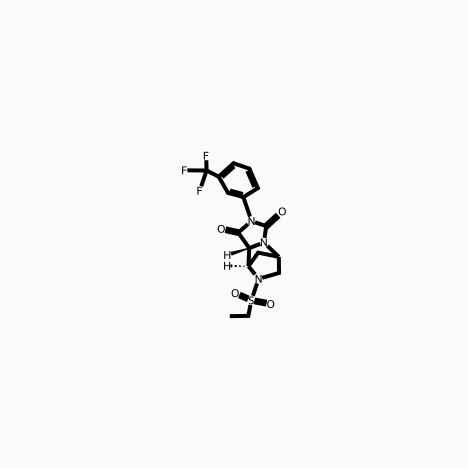 CCS(=O)(=O)N1CC2C[C@@H]1[C@@H]1C(=O)N(c3cccc(C(F)(F)F)c3)C(=O)N21